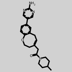 CC1CCN(C(=O)C/C2=C/Cc3cc(-c4cnc(N)nc4)ccc3OCC2)CC1